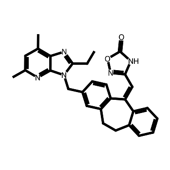 CCc1nc2c(C)cc(C)nc2n1Cc1ccc2c(c1)CCc1ccccc1/C2=C/c1noc(=O)[nH]1